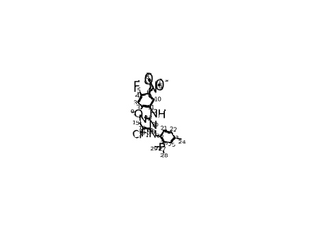 COc1cc(F)c([N+](=O)[O-])cc1Nc1ncc(Cl)c(Nc2ccc(C)cc2P(C)C)n1